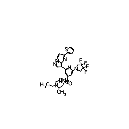 CCN(CC)C(C)CNC(=O)c1cc(-c2cnn3ccc(-c4cccs4)nc23)nc(N2CC(F)(F)C(F)(F)C2)c1